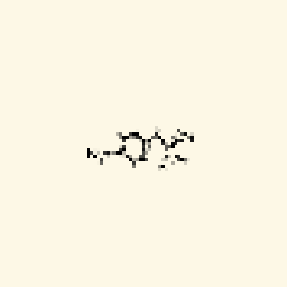 CP(=O)(O)Cc1ccc(N)cc1